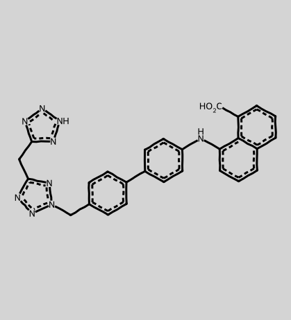 O=C(O)c1cccc2cccc(Nc3ccc(-c4ccc(Cn5nnc(Cc6nn[nH]n6)n5)cc4)cc3)c12